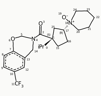 CC(C)[C@]1(C(=O)N2COc3ccc(C(F)(F)F)cc3C2)CC[C@@H]([N+]2([O-])CCCCC2)C1